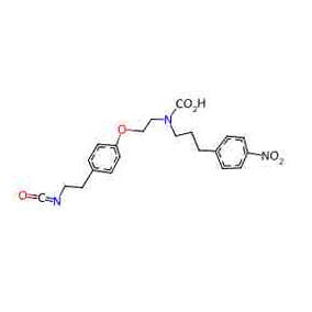 O=C=NCCc1ccc(OCCN(CCCc2ccc([N+](=O)[O-])cc2)C(=O)O)cc1